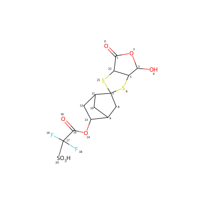 O=C1OC(O)C2SC3(CC4CC3CC4OC(=O)C(F)(F)S(=O)(=O)O)SC12